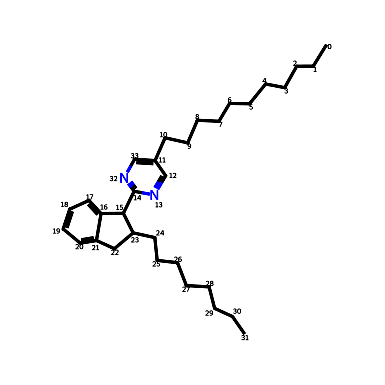 CCCCCCCCCCCc1cnc(C2c3ccccc3CC2CCCCCCCC)nc1